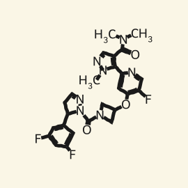 CN(C)C(=O)c1cnn(C)c1-c1cc(OC2CN(C(=O)N3N=CCC3c3cc(F)cc(F)c3)C2)c(F)cn1